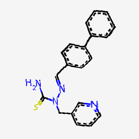 NC(=S)N(Cc1cccnc1)N=Cc1ccc(-c2ccccc2)cc1